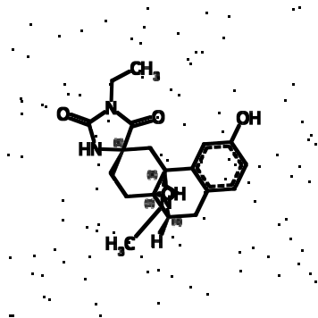 CCN1C(=O)N[C@]2(CC[C@@]3(O)[C@H]4Cc5ccc(O)cc5[C@@]3(CCN4C)C2)C1=O